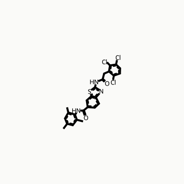 Cc1cc(C)c(NC(=O)c2ccc3nc(NC(=O)Cc4c(Cl)ccc(Cl)c4Cl)sc3c2)c(C)c1